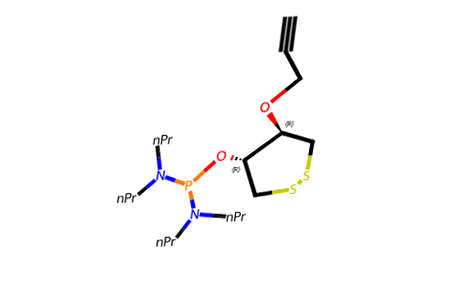 C#CCO[C@H]1CSSC[C@@H]1OP(N(CCC)CCC)N(CCC)CCC